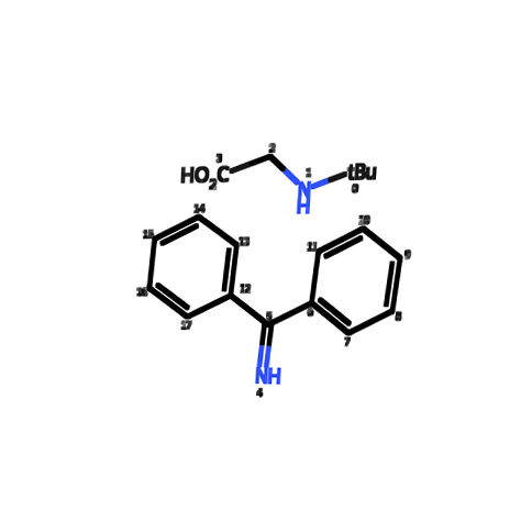 CC(C)(C)NCC(=O)O.N=C(c1ccccc1)c1ccccc1